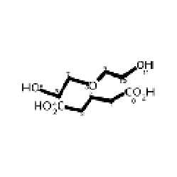 O=C(O)CCCC(=O)O.OCCOCCO